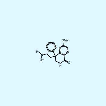 COc1ccc2c(c1)C(CCN(C(C)C)C(C)C)(c1ccccc1)CNC2=O